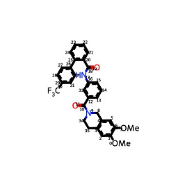 COc1cc2c(cc1OC)CN(C(=O)c1cccc(NC(=O)c3ccccc3-c3ccc(C(F)(F)F)cc3)c1)CC2